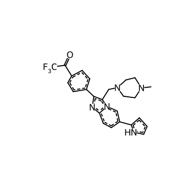 CN1CCN(Cc2c(-c3ccc(C(=O)C(F)(F)F)cc3)nc3ccc(-c4ccc[nH]4)cn23)CC1